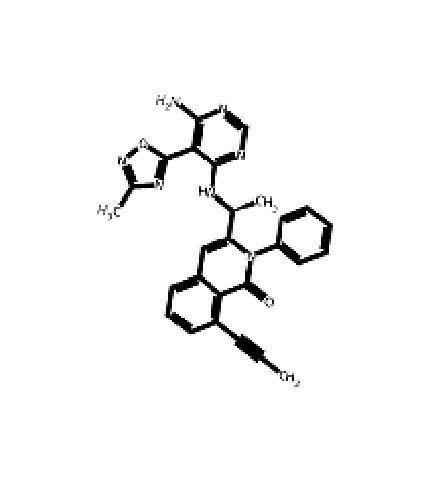 CC#Cc1cccc2cc([C@H](C)Nc3ncnc(N)c3-c3nc(C)no3)n(-c3ccccc3)c(=O)c12